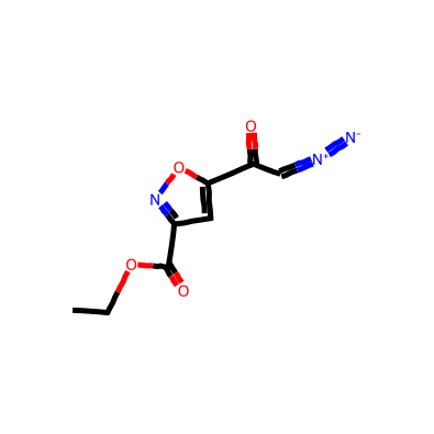 CCOC(=O)c1cc(C(=O)C=[N+]=[N-])on1